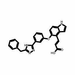 O=C(O)/C=C/c1c(Oc2cccc(-c3nnc(Cc4ccccc4)[nH]3)c2)ccc2[nH]ccc12